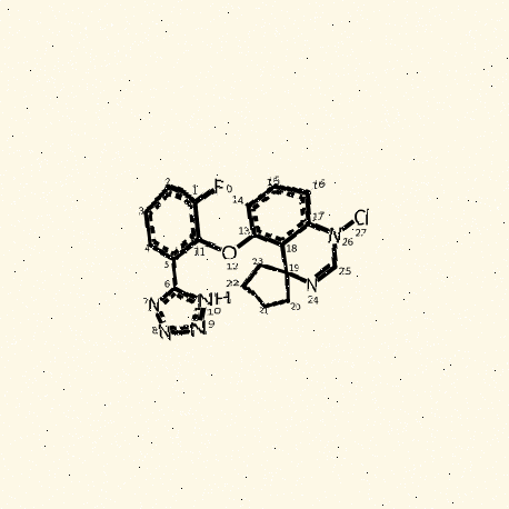 Fc1cccc(-c2nnn[nH]2)c1Oc1cccc2c1C1(CCCC1)N=CN2Cl